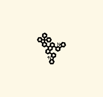 Cn1c2ccccc2c2cccc(-c3cccc4c(-c5ccc6c(c5)C(c5ccccc5)(c5ccccc5)c5ccccc5-6)c5cccc(-c6cccc7c8ccccc8n(C)c67)c5cc34)c21